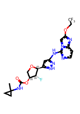 CC1(NC(=O)O[C@H]2CO[C@@H](c3cc(Nc4nccc5nc(OCC(F)(F)F)cn45)n[nH]3)[C@@H]2F)CC1